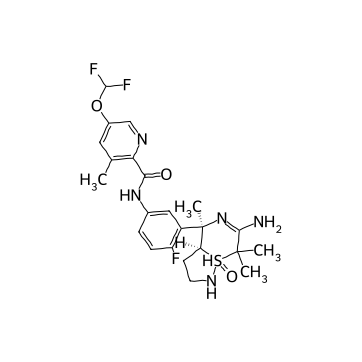 Cc1cc(OC(F)F)cnc1C(=O)Nc1ccc(F)c([C@@]2(C)N=C(N)C(C)(C)[SH]3(=O)NCC[C@@H]23)c1